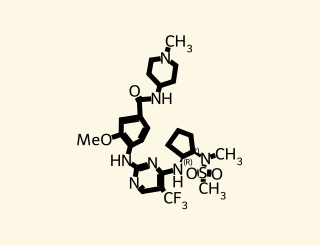 COc1cc(C(=O)NC2CCN(C)CC2)ccc1Nc1ncc(C(F)(F)F)c(N[C@@H]2CCC[C@H]2N(C)S(C)(=O)=O)n1